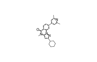 Cc1cc(-c2ccc3c(=O)n(C)c4cc(C5CCCCC5)nn4c3c2)cc(C)n1